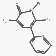 CCc1c(-c2cccnn2)cc(C(F)(F)F)c(=O)n1CC